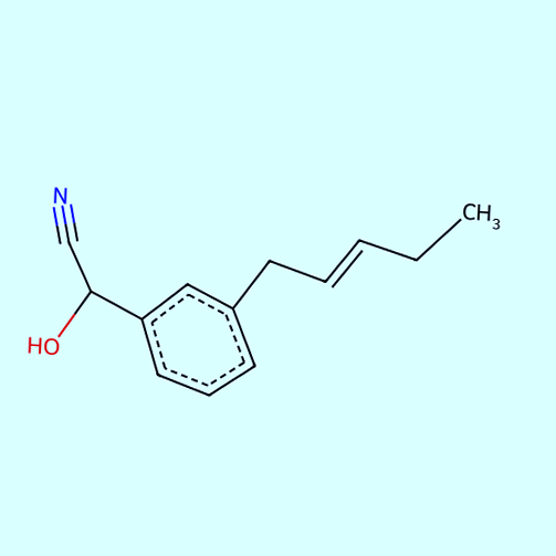 CCC=CCc1cccc(C(O)C#N)c1